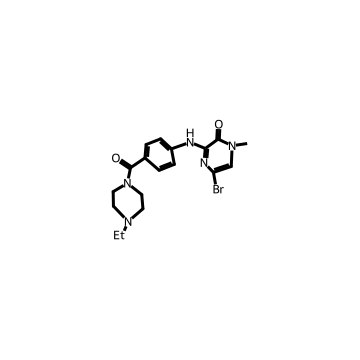 CCN1CCN(C(=O)c2ccc(Nc3nc(Br)cn(C)c3=O)cc2)CC1